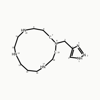 c1[nH]nnc1CN1CCCNCCNCCCNCC1